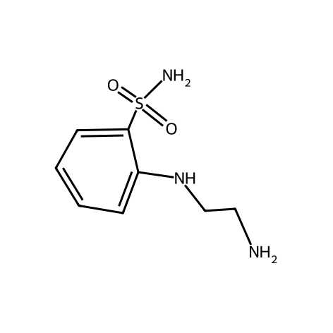 NCCNc1ccccc1S(N)(=O)=O